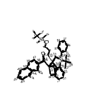 CC(C)(C)[Si](C)(C)OCCC[C@@]1(C[Si](c2ccccc2)(c2ccccc2)C(C)(C)C)CC2CC1(C(=O)c1ccc3ccccc3c1)C2